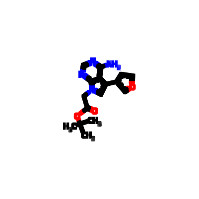 CC(C)(C)OC(=O)Cn1cc(-c2ccoc2)c2c(N)ncnc21